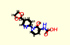 O=C(O)Nc1cccn(-c2ccc(C3OCCO3)cn2)c1=O